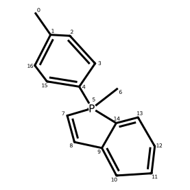 Cc1ccc([P]2(C)C=Cc3ccccc32)cc1